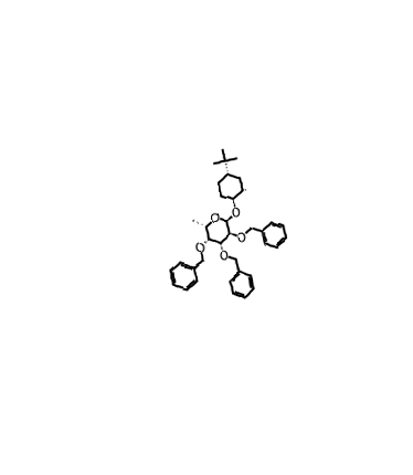 C[C@@H]1O[C@@H](O[C@@H]2[CH]C[C@@H](C(C)(C)C)CC2)[C@@H](OCc2ccccc2)[C@H](OCc2ccccc2)[C@@H]1OCc1ccccc1